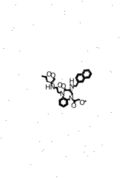 COCC(=O)N1C[C@H](NCc2ccc3ccccc3c2)C(=O)N(CC(=O)N[C@H](C=O)CC(C)=O)c2ccccc21